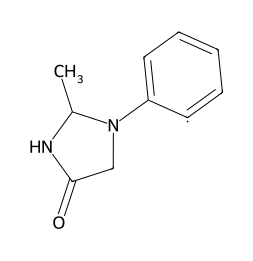 CC1NC(=O)CN1c1[c]cccc1